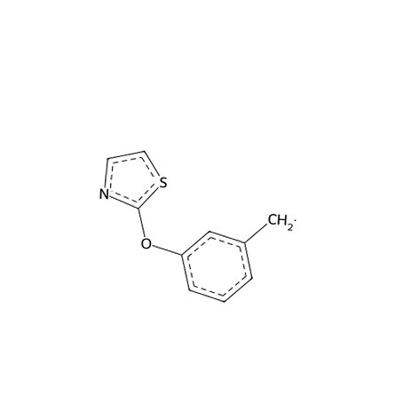 [CH2]c1cccc(Oc2nccs2)c1